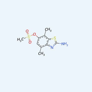 Cc1cc(OS(C)(=O)=O)c(C)c2sc(N)nc12